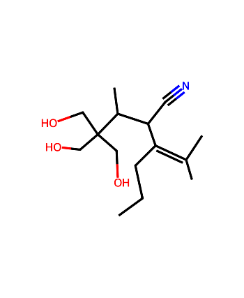 CCCC(=C(C)C)C(C#N)C(C)C(CO)(CO)CO